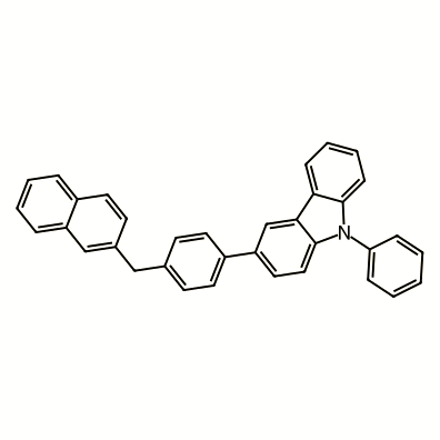 c1ccc(-n2c3ccccc3c3cc(-c4ccc(Cc5ccc6ccccc6c5)cc4)ccc32)cc1